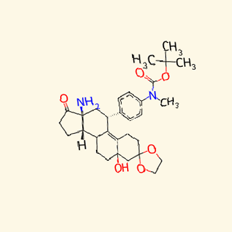 CN(C(=O)OC(C)(C)C)c1ccc([C@H]2C[C@@]3(N)C(=O)CC[C@H]3C3CC[C@@]4(O)CC5(CCC4=C32)OCCO5)cc1